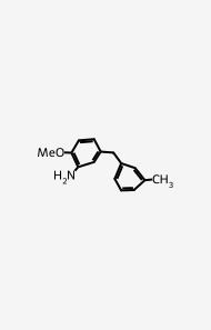 COc1ccc(Cc2cccc(C)c2)cc1N